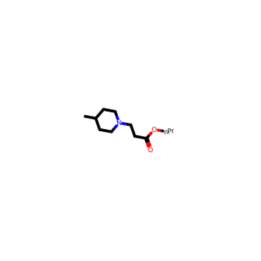 CCCOC(=O)CCN1CCC(C)CC1